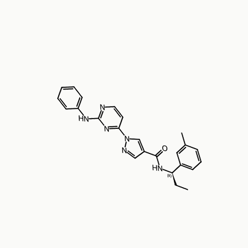 CC[C@@H](NC(=O)c1cnn(-c2ccnc(Nc3ccccc3)n2)c1)c1cccc(C)c1